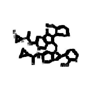 COc1ccccc1-c1c(Cn2c(-c3cccnc3OC)cc3cnc(NC(=O)C4CC4)cc32)c2cnc(NC(=O)[C@@H]3C[C@@H]3F)cc2n1C